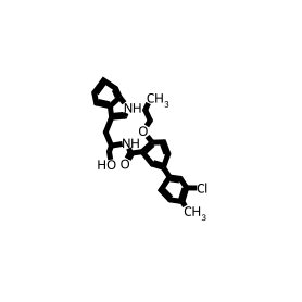 CCCOc1ccc(-c2ccc(C)c(Cl)c2)cc1C(=O)NC(CO)Cc1c[nH]c2ccccc12